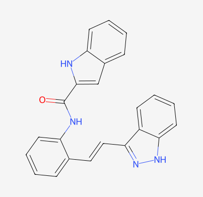 O=C(Nc1ccccc1/C=C/c1n[nH]c2ccccc12)c1cc2ccccc2[nH]1